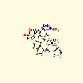 Cc1c([C@H](c2ccc3c(c2)[C@H](N2Cc4ccncc4OC(C)(C)C2)CC3)C(C)(C)C(=O)O)ccc2c1nnn2C